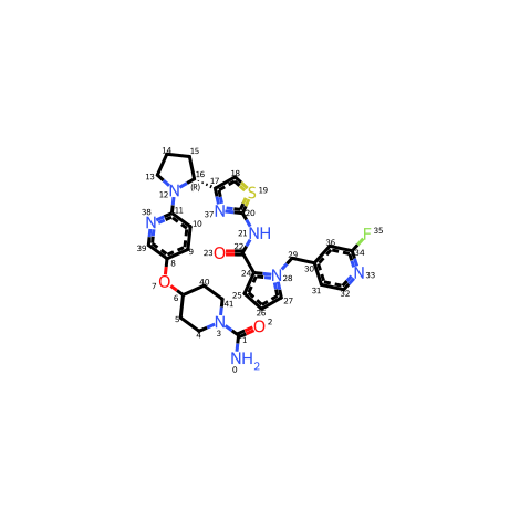 NC(=O)N1CCC(Oc2ccc(N3CCC[C@@H]3c3csc(NC(=O)c4cccn4Cc4ccnc(F)c4)n3)nc2)CC1